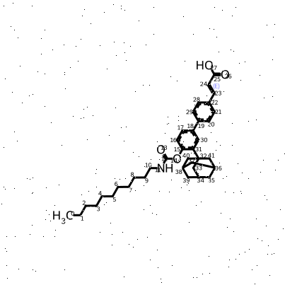 CCCCCCCCCCCNC(=O)Oc1ccc(-c2ccc(/C=C/C(=O)O)cc2)cc1C12CC3CC(CC(C3)C1)C2